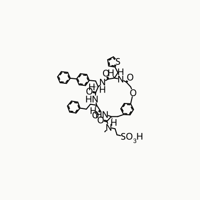 CN(CCS(=O)(=O)O)C(=O)[C@@H]1Cc2ccc(cc2)OCC(=O)N[C@@H](Cc2cccs2)C(=O)N[C@H](Cc2ccc(-c3ccccc3)cc2)C(=O)N[C@@H](CCc2ccccc2)C(=O)N1